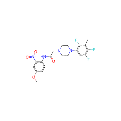 COc1ccc(NC(=O)CN2CCN(c3cc(F)c(F)c(C)c3F)CC2)c([N+](=O)[O-])c1